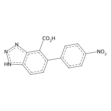 O=C(O)c1c(-c2ccc([N+](=O)[O-])cc2)ccc2[nH]nnc12